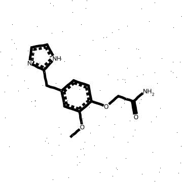 COc1cc(Cc2ncc[nH]2)ccc1OCC(N)=O